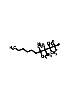 BC(B)(C(C)(C)CCCCCC)C(C)(C)C(F)(F)F